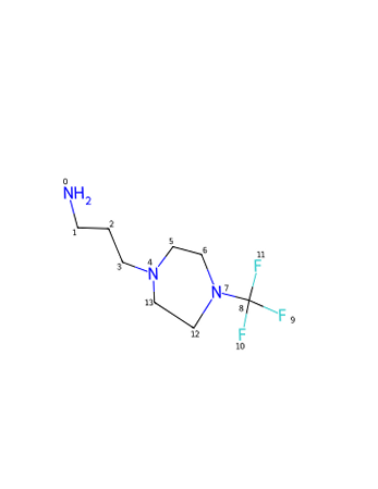 NCCCN1CCN(C(F)(F)F)CC1